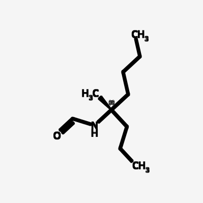 CCCC[C@](C)(CCC)NC=O